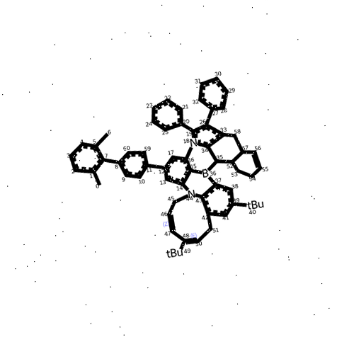 Cc1cccc(C)c1-c1ccc(-c2cc3c4c(c2)-n2c(-c5ccccc5)c(-c5ccccc5)c5c2C(B4c2cc(C(C)(C)C)cc4c2N3C/C=C\C(C(C)(C)C)=C/C4)C2CCC=CC2C5)cc1